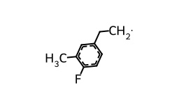 [CH2]Cc1ccc(F)c(C)c1